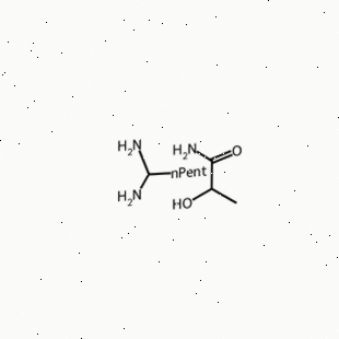 CC(O)C(N)=O.CCCCCC(N)N